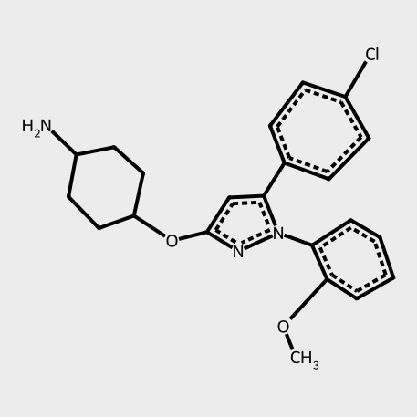 COc1ccccc1-n1nc(OC2CCC(N)CC2)cc1-c1ccc(Cl)cc1